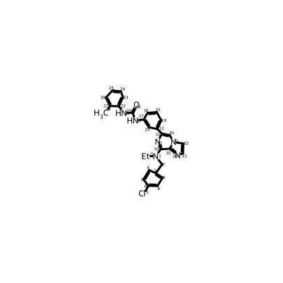 CCN(Cc1ccc(Cl)cc1)c1nc(-c2cccc(NC(=O)Nc3ccccc3C)c2)cn2ccnc12